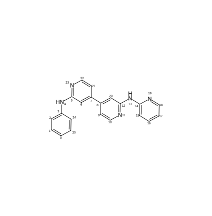 c1ccc(Nc2cc(-c3ccnc(Nc4ccccn4)c3)ccn2)cc1